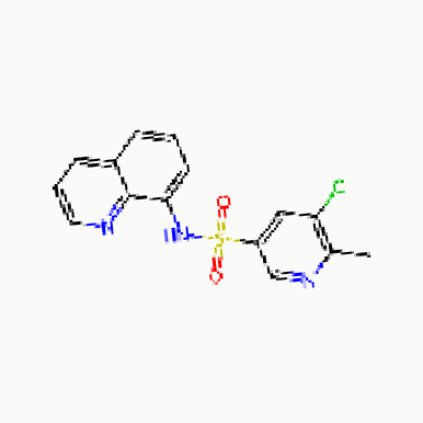 Cc1ncc(S(=O)(=O)Nc2cccc3cccnc23)cc1Cl